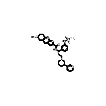 CC(C)(C)[C@H]1CCc2nc3sc(C(=O)N[C@H](CCN4CCCC(c5cccnc5)C4)c4cccc(NS(C)(=O)=O)c4)cc3cc2C1